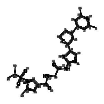 Cc1cc(-c2cccc(-c3csc(NC(=O)CNC(=O)c4cc(C)n(S(=O)(=O)C(C)C)c4)n3)c2)cc(C)n1